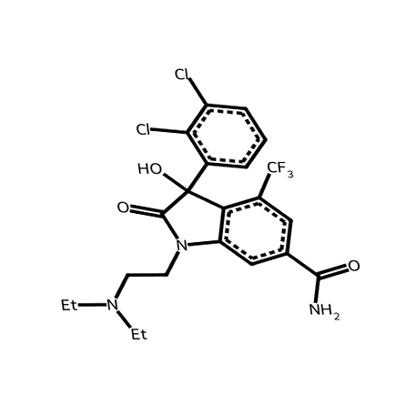 CCN(CC)CCN1C(=O)C(O)(c2cccc(Cl)c2Cl)c2c1cc(C(N)=O)cc2C(F)(F)F